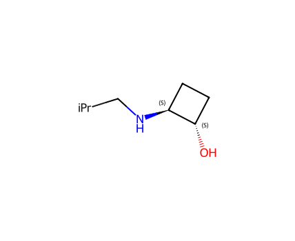 CC(C)CN[C@H]1CC[C@@H]1O